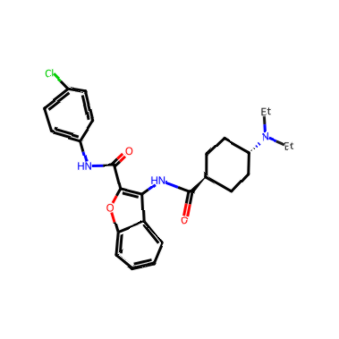 CCN(CC)[C@H]1CC[C@H](C(=O)Nc2c(C(=O)Nc3ccc(Cl)cc3)oc3ccccc23)CC1